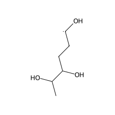 CC(O)C(O)CC[CH]O